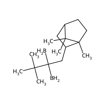 BC(B)(CC1CC2CCC1(C)C2(C)C)C(C)(C)C